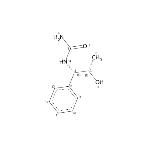 C[C@H](O)[C@@H](NC(N)=O)c1ccccc1